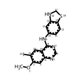 COc1cc2ncnc(Nc3ccc4c(c3)NCS4)c2cc1I